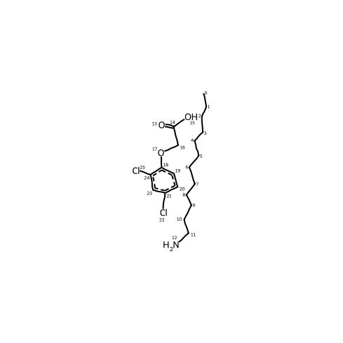 CCCCCCCCCCCCN.O=C(O)COc1ccc(Cl)cc1Cl